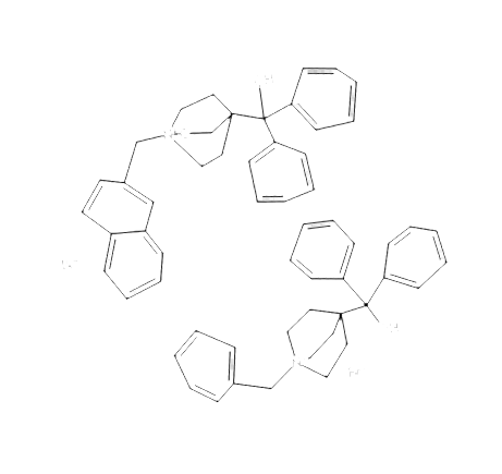 OC(c1ccccc1)(c1ccccc1)C12CC[N+](Cc3ccc4ccccc4c3)(CC1)CC2.OC(c1ccccc1)(c1ccccc1)C12CC[N+](Cc3ccccc3)(CC1)CC2.[Br-].[Br-]